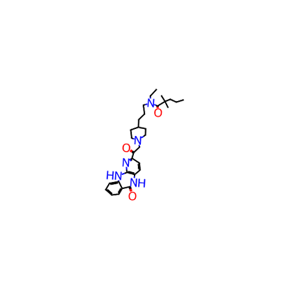 CCCC(C)(C)C(=O)N(CC)CCCC1CCN(CC(=O)c2ccc3c(n2)Nc2ccccc2C(=O)N3)CC1